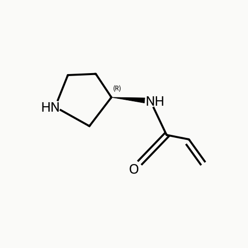 C=CC(=O)N[C@@H]1CCNC1